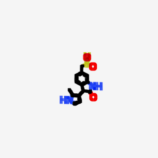 Cc1[nH]ccc1C1C(=O)Nc2cc(C[SH](=O)=O)ccc21